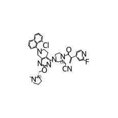 C=C(C(=O)N1CCN(c2nc(OC[C@@H]3CCCN3C)nc3c2CCN(c2cccc4cccc(Cl)c24)C3)C[C@@H]1CC#N)c1ccnc(F)c1